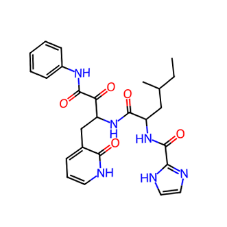 CCC(C)CC(NC(=O)c1ncc[nH]1)C(=O)NC(Cc1ccc[nH]c1=O)C(=O)C(=O)Nc1ccccc1